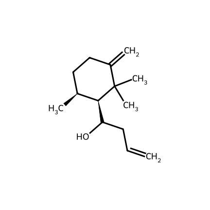 C=CCC(O)[C@H]1[C@@H](C)CCC(=C)C1(C)C